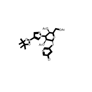 CC(=O)OCC1O[C@H](Sc2cncc(Cl)c2)[C@@H](OC(C)=O)C(n2cc(B3OC(C)(C)C(C)(C)O3)cn2)[C@H]1OC(C)=O